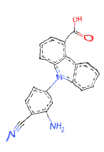 N#Cc1ccc(-n2c3ccccc3c3c(C(=O)O)cccc32)cc1N